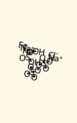 O=S(=O)([O-])OOS(=O)(=O)[O-].O=S(O)OO.[Cl-].[Fe].[Na+].[Na+].[Na+]